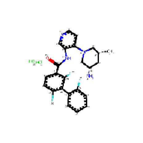 C[C@@H]1C[C@H](N)CN(c2ccncc2NC(=O)c2ccc(F)c(-c3ccccc3F)c2F)C1.Cl.Cl